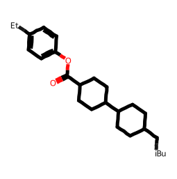 CCc1ccc(OC(=O)C2CCC(C3CCC(CC(C)CC)CC3)CC2)cc1